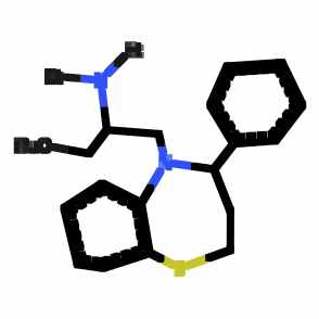 CCN(CC)C(COCC(C)C)CN1c2ccccc2SCCC1c1ccccc1